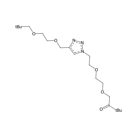 CC(C)(C)COCCOCc1cn(CCOCCOCC(=O)C(C)(C)C)nn1